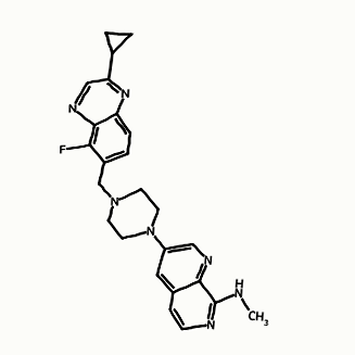 CNc1nccc2cc(N3CCN(Cc4ccc5nc(C6CC6)cnc5c4F)CC3)cnc12